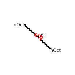 CCCCCCCCC=CCCCCCCCCOCC(COCCCCCCCCC=CCCCCCCCC)OC(=O)CC